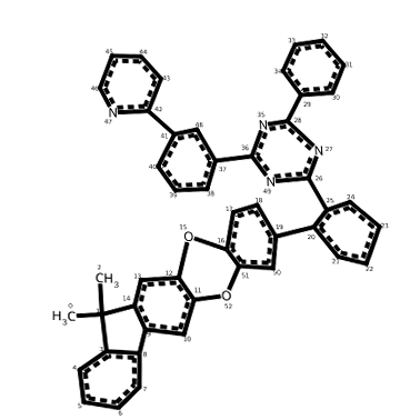 CC1(C)c2ccccc2-c2cc3c(cc21)Oc1ccc(-c2ccccc2-c2nc(-c4ccccc4)nc(-c4cccc(-c5ccccn5)c4)n2)cc1O3